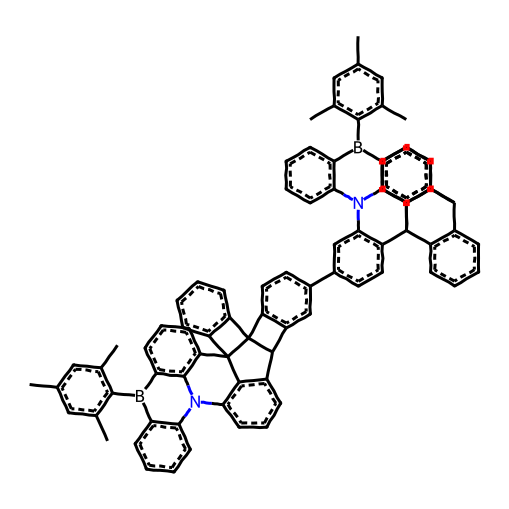 Cc1cc(C)c(B2c3ccccc3N3c4cccc5c4C4(c6ccccc6C46c4ccc(-c7ccc8c(c7)N7c9ccccc9B(c9c(C)cc(C)cc9C)c9ccc%10c(c97)C87c8ccccc8C%10c8ccccc87)cc4C56)c4cccc2c43)c(C)c1